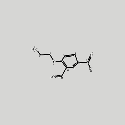 CCCOc1ccc([N+](=O)[O-])cc1C=O